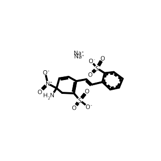 NC1([N+](=O)[O-])C=CC(C=Cc2ccccc2S(=O)(=O)[O-])=C(S(=O)(=O)[O-])C1.[Na+].[Na+]